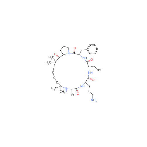 CC(C)CC1NC(=O)C(CCCN)NC(=O)C(C(C)C)NC(C)(C)CCCCC(C)(C)C(=O)C2CCCN2C(=O)C(Cc2ccccc2)NC1=O